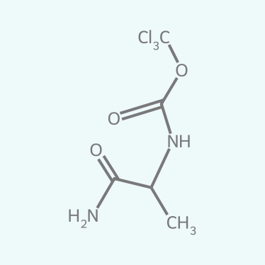 CC(NC(=O)OC(Cl)(Cl)Cl)C(N)=O